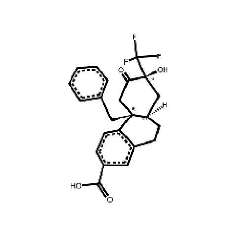 O=C(O)c1ccc2c(c1)CC[C@@H]1C[C@@](O)(C(F)(F)F)C(=O)C[C@@]21Cc1ccccc1